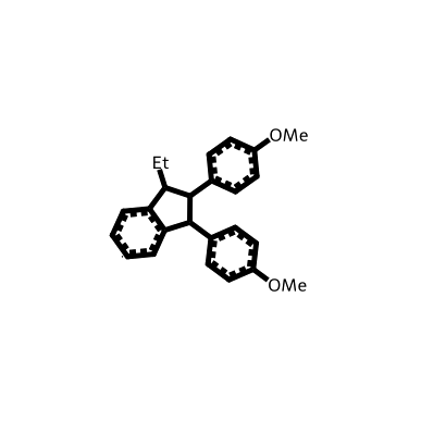 CCC1c2cc[c]cc2C(c2ccc(OC)cc2)C1c1ccc(OC)cc1